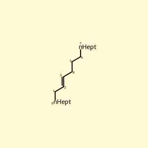 [CH2]CCCCCCCC=CCCCCCCCCC[CH2]